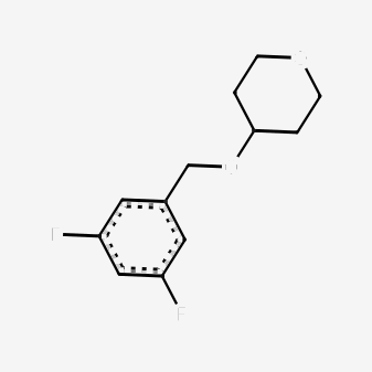 Fc1cc(F)cc(COC2CCOCC2)c1